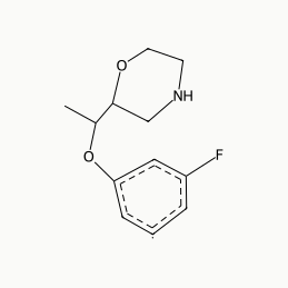 CC(Oc1c[c]cc(F)c1)C1CNCCO1